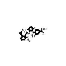 Cc1cccc(C2CC2)c1C(=O)NC1=C(N(O)c2ccc(C(=O)O)cc2F)C(F)=CCC1C